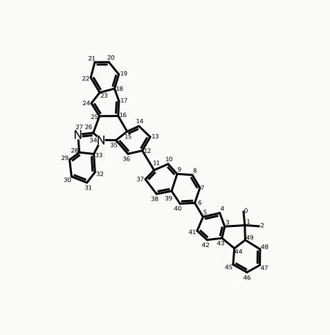 CC1(C)c2cc(-c3ccc4cc(-c5ccc6c7cc8ccccc8cc7c7nc8ccccc8n7c6c5)ccc4c3)ccc2C2C=CC=CC21